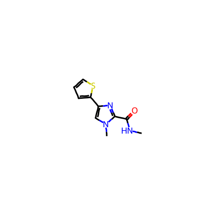 CNC(=O)c1nc(-c2cccs2)cn1C